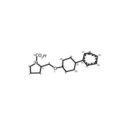 O=C(O)N1CCCC1COC1CCC(c2ccccc2)CC1